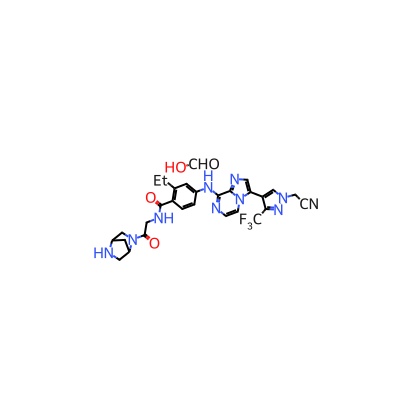 CCc1cc(Nc2nccn3c(-c4cn(CC#N)nc4C(F)(F)F)cnc23)ccc1C(=O)NCC(=O)N1CC2CC1CN2.O=CO